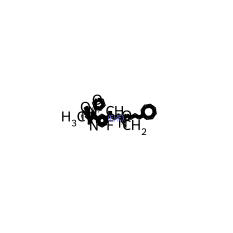 C=N/C(=C\C=C(/C)c1cc2c(cc1F)ncc1c2n([C@H]2CCCOC2)c(=O)n1C)OCCCC1CCCCCCC1